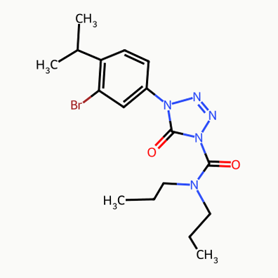 CCCN(CCC)C(=O)n1nnn(-c2ccc(C(C)C)c(Br)c2)c1=O